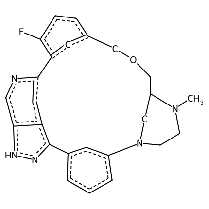 CN1CCN2CC1COCc1ccc(F)c(c1)-c1cc3c(n[nH]c3cn1)-c1cccc2c1